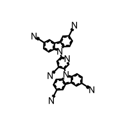 N#Cc1ccc2c(c1)c1cc(C#N)ccc1n2-c1cc(C#N)c(-n2c3ccc(C#N)cc3c3cc(C#N)ccc32)cn1